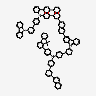 CC1(C)c2ccccc2-c2cccc(-c3ccc(N(c4ccc(-c5cccc(-c6ccc7ccccc7c6)c5)cc4)c4ccc(-c5cccc(-n6c7ccccc7c7cc(-c8ccc9cc(-c%10cccc(-c%11ccc(N(c%12ccc(-c%13cccc(-n%14c%15ccccc%15c%15ccccc%15%14)c%13)cc%12)c%12ccccc%12-c%12ccc(-c%13ccccc%13)cc%12)cc%11)c%10)ccc9c8)ccc76)c5)cc4)cc3)c21